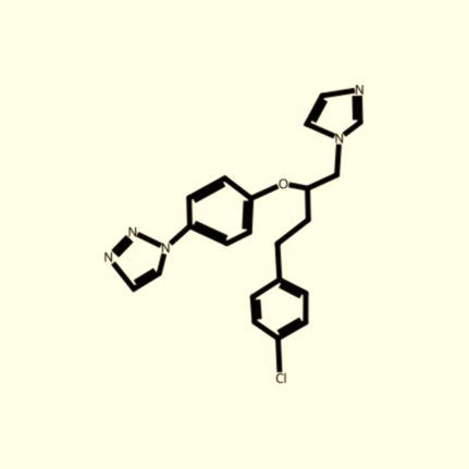 Clc1ccc(CCC(Cn2ccnc2)Oc2ccc(-n3ccnn3)cc2)cc1